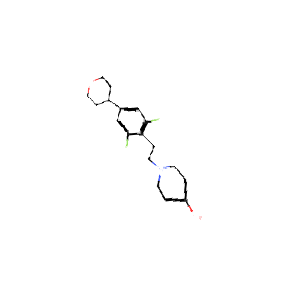 OC1CCN(CCc2c(F)cc(C3CCOCC3)cc2F)CC1